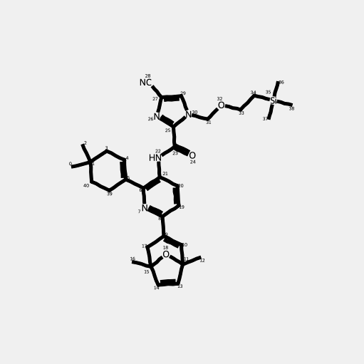 CC1(C)CC=C(c2nc(C3=CC4(C)C=CC(C)(C3)O4)ccc2NC(=O)c2nc(C#N)cn2COCC[Si](C)(C)C)CC1